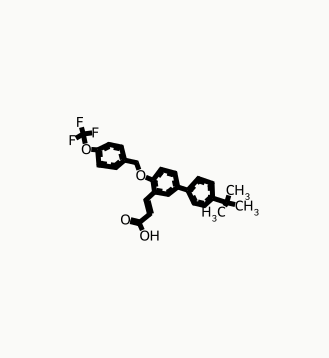 CC(C)(C)c1ccc(-c2ccc(OCc3ccc(OC(F)(F)F)cc3)c(C=CC(=O)O)c2)cc1